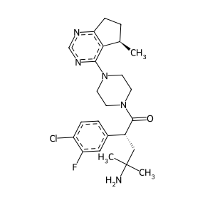 C[C@@H]1CCc2ncnc(N3CCN(C(=O)[C@H](CC(C)(C)N)c4ccc(Cl)c(F)c4)CC3)c21